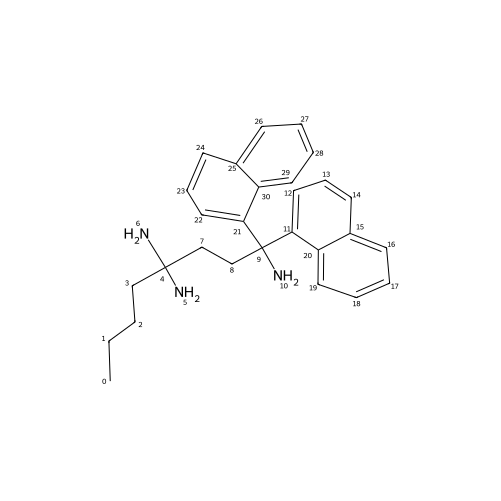 CCCCC(N)(N)CCC(N)(c1cccc2ccccc12)c1cccc2ccccc12